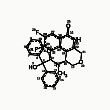 CN(C(=O)C(O)(c1ccccc1)c1ccccc1)[C@@H]1COCc2[nH]c(=O)c3cc(F)c(F)cc3c21